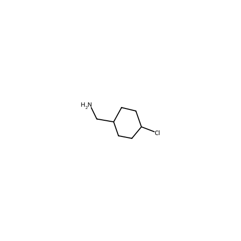 NCC1CCC(Cl)CC1